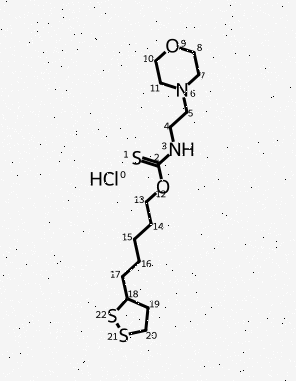 Cl.S=C(NCCN1CCOCC1)OCCCCCC1CCSS1